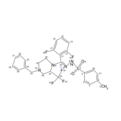 Cc1ccc(S(=O)(=O)N/N=C(\c2c(F)cccc2F)N2CCN(Cc3ccccc3)CC2C(F)(F)F)cc1